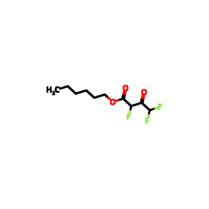 CCCCCCOC(=O)C(F)C(=O)C(F)F